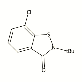 CC(C)(C)n1sc2c(Cl)cccc2c1=O